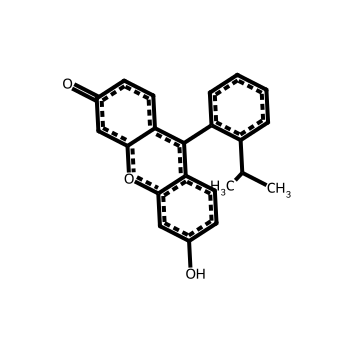 CC(C)c1ccccc1-c1c2ccc(=O)cc-2oc2cc(O)ccc12